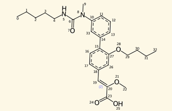 CCCCCNC(=O)N(C)c1cccc(-c2ccc(/C=C(\OC)C(=O)O)cc2OCCCC)c1